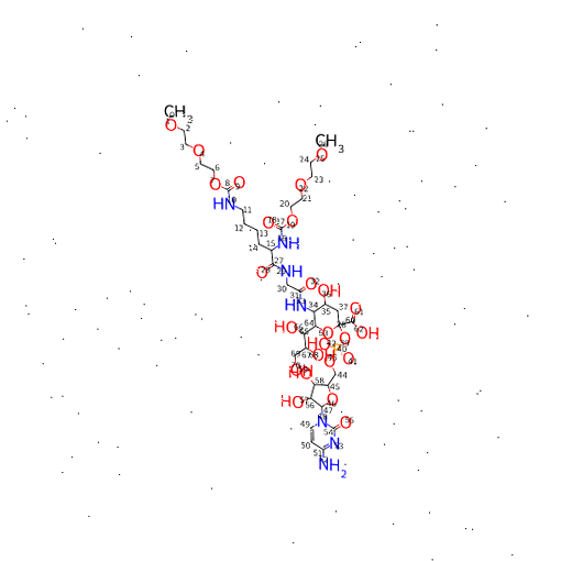 COCCOCCOC(=O)NCCCCC(NC(=O)OCCOCCOC)C(=O)NCC(=O)NC1C(O)CC(OP(=O)(O)OCC2OC(n3ccc(N)nc3=O)C(O)C2O)(C(=O)O)OC1C(O)C(O)CO